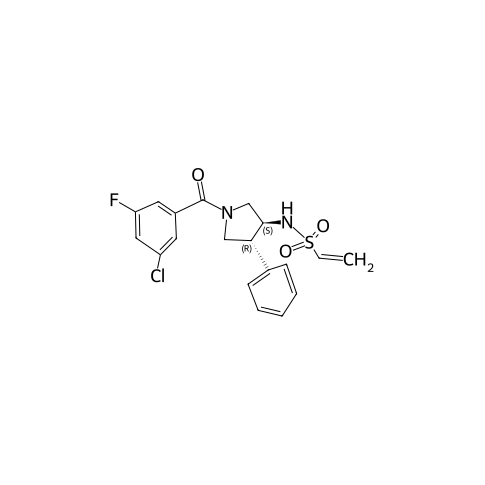 C=CS(=O)(=O)N[C@@H]1CN(C(=O)c2cc(F)cc(Cl)c2)C[C@H]1c1ccccc1